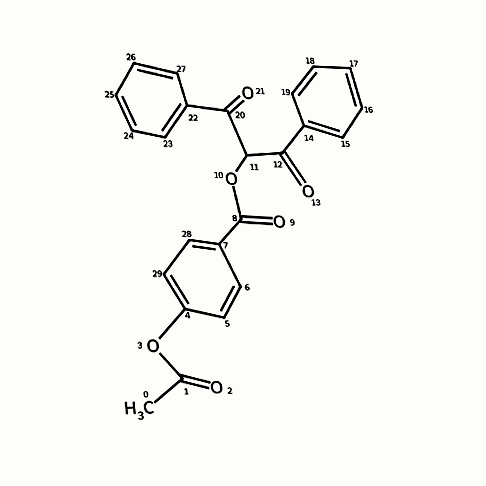 CC(=O)Oc1ccc(C(=O)OC(C(=O)c2ccccc2)C(=O)c2ccccc2)cc1